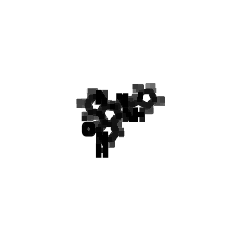 O=c1[nH]ccc2c3[nH]c(C4CCCC4)nc3c3ncccc3c12